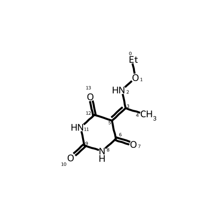 CCONC(C)=C1C(=O)NC(=O)NC1=O